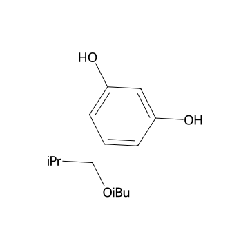 CC(C)COCC(C)C.Oc1cccc(O)c1